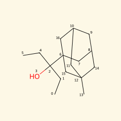 CCC(O)(CC)C12CC3CC(CC(C)(C3)C1)C2